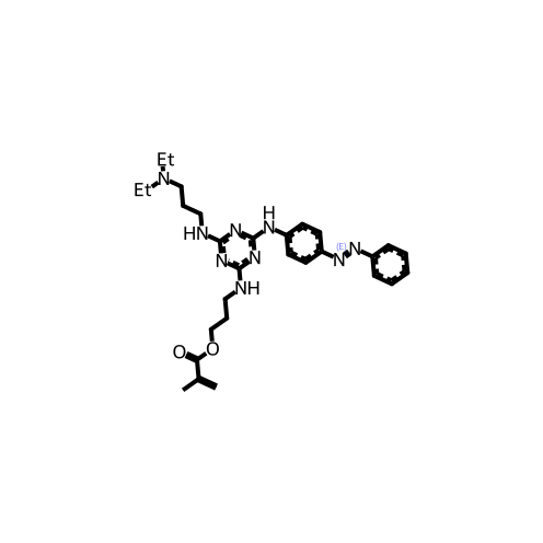 C=C(C)C(=O)OCCCNc1nc(NCCCN(CC)CC)nc(Nc2ccc(/N=N/c3ccccc3)cc2)n1